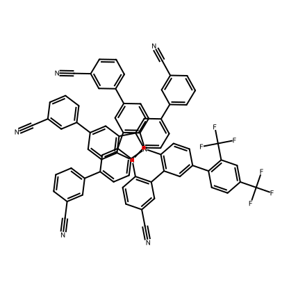 N#Cc1cccc(-c2ccc3c(c2)c2cc(-c4cccc(C#N)c4)ccc2n3-c2ccc(C#N)cc2-c2cc(-c3ccc(C(F)(F)F)cc3C(F)(F)F)ccc2-n2c3ccc(-c4cccc(C#N)c4)cc3c3cc(-c4cccc(C#N)c4)ccc32)c1